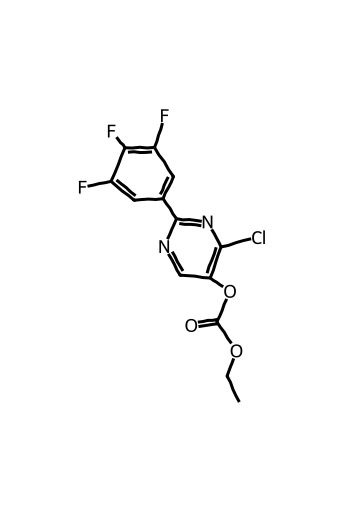 CCOC(=O)Oc1cnc(-c2cc(F)c(F)c(F)c2)nc1Cl